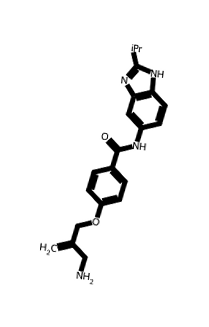 C=C(CN)COc1ccc(C(=O)Nc2ccc3[nH]c(C(C)C)nc3c2)cc1